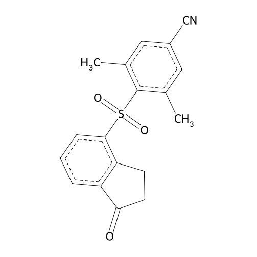 Cc1cc(C#N)cc(C)c1S(=O)(=O)c1cccc2c1CCC2=O